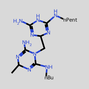 CCCCCNC1=NC(CN2C(N)=NC(C)N=C2NCCCC)N=C(N)N1